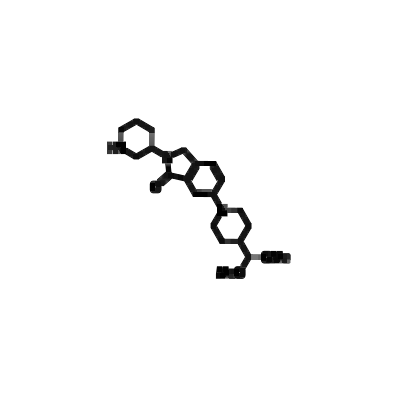 COC(OC)C1CCN(c2ccc3c(c2)C(=O)N(C2CCCNC2)C3)CC1